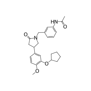 COc1ccc(C2CC(=O)N(Cc3cccc(NC(C)=O)c3)C2)cc1OC1CCCC1